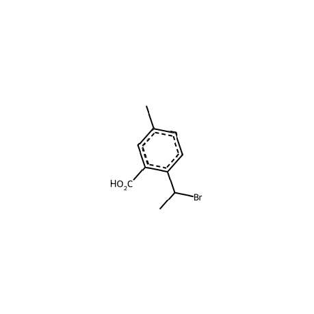 Cc1ccc(C(C)Br)c(C(=O)O)c1